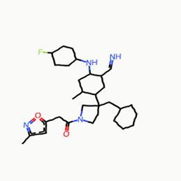 Cc1cc(CC(=O)N2CCC(CC3CCCCC3)(C3CC(C=N)C(NC4CCC(F)CC4)CC3C)C2)on1